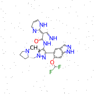 CN1CCC[C@H]1Cn1cc(NC(=O)/C(C=N)=C2\N=CC=CN2)c(-c2cc3cn[nH]c3cc2OC(F)F)n1